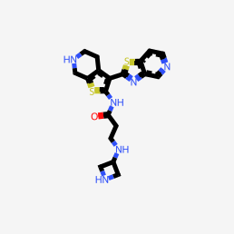 O=C(CCNC1CNC1)Nc1sc2c(c1-c1nc3cnccc3s1)CCNC2